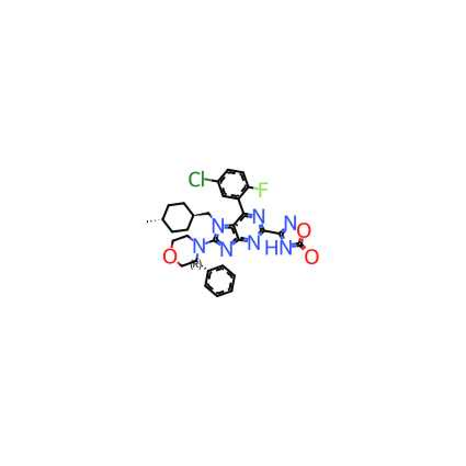 C[C@H]1CC[C@H](Cn2c(N3CCOC[C@H]3c3ccccc3)nc3nc(-c4noc(=O)[nH]4)nc(-c4cc(Cl)ccc4F)c32)CC1